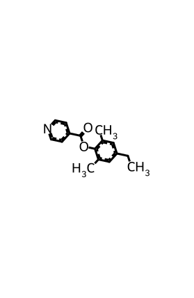 CCc1cc(C)c(OC(=O)c2ccncc2)c(C)c1